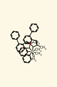 CC1=Cc2c(-c3ccccc3)cccc2[CH]1[Zr]([CH3])([CH3])(=[SiH2])([c]1ccccc1)([c]1ccccc1)[CH]1C(C)=Cc2c(-c3ccccc3)cccc21